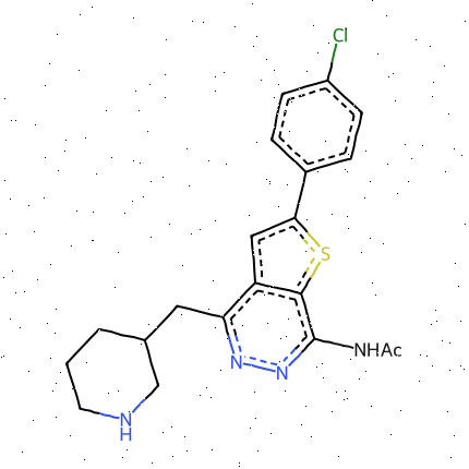 CC(=O)Nc1nnc(CC2CCCNC2)c2cc(-c3ccc(Cl)cc3)sc12